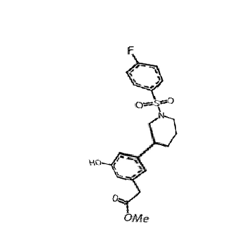 COC(=O)Cc1cc(O)cc(C2CCCN(S(=O)(=O)c3ccc(F)cc3)C2)c1